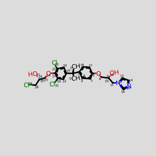 CC(C)(c1ccc(OC[C@@H](O)Cn2ccnc2)cc1)c1cc(Cl)c(OC[C@@H](O)CCl)c(Cl)c1